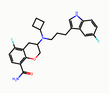 NC(=O)c1ccc(F)c2c1OCC(N(CCCc1c[nH]c3ccc(F)cc13)C1CCC1)C2